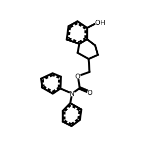 O=C(OCC1CCc2c(O)cccc2C1)N(c1ccccc1)c1ccccc1